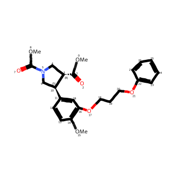 COC(=O)[C@H]1CN(C(=O)OC)C[C@@H]1c1ccc(OC)c(OCCCOc2ccccc2)c1